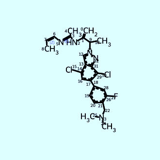 C=C(N/C(C)=N/C=C\C)C(C)n1cc2c(Cl)cc(-c3ccc(CN(C)C)c(F)c3)c(Cl)c2n1